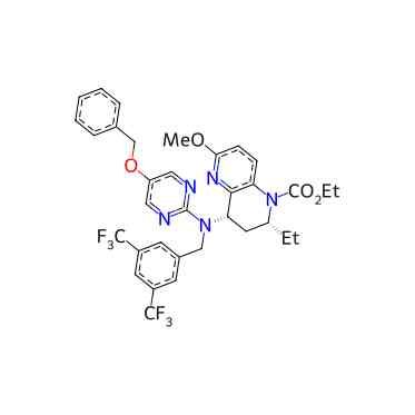 CCOC(=O)N1c2ccc(OC)nc2[C@@H](N(Cc2cc(C(F)(F)F)cc(C(F)(F)F)c2)c2ncc(OCc3ccccc3)cn2)C[C@H]1CC